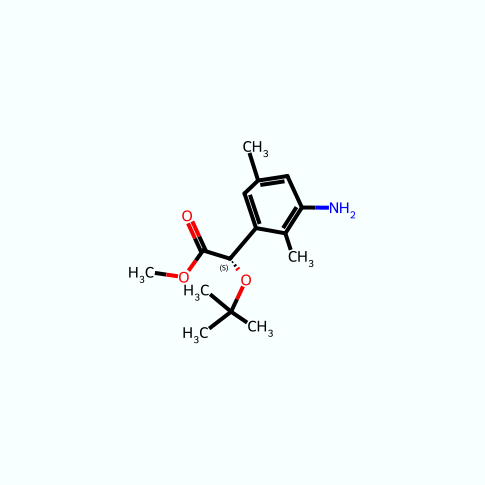 COC(=O)[C@@H](OC(C)(C)C)c1cc(C)cc(N)c1C